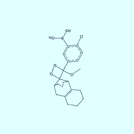 COC1(c2ccc(Cl)c(B(O)O)c2)OOC12C1CCCC2C2=C(CCCC2)C1